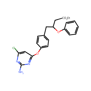 CCOC(=O)CC(Cc1ccc(Oc2cc(Cl)nc(N)n2)cc1)Oc1ccccc1